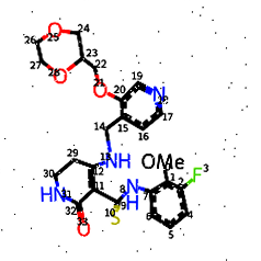 COc1c(F)cccc1NC(=S)C1=C(NCc2ccncc2OCC2COCCO2)CCNC1=O